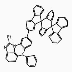 CCc1nc2cccc3c2n1-c1cc(-c2ccc4c(c2)C2(c5ccccc5-4)c4ccccc4C4(c5ccccc5-c5ccccc54)c4ccccc42)ccc1N3c1ccccc1